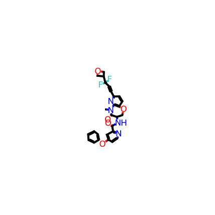 CN1C(=O)C(NC(=O)c2cc(Oc3ccccc3)ccn2)COc2ccc(C#CC(F)(F)C3COC3)nc21